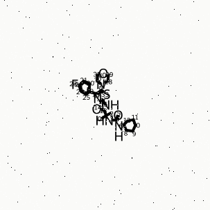 CC(C)(NC(=O)NC1CCCCC1)C(=O)Nc1nc(-c2ccc(F)cc2)c(N2CCOCC2)s1